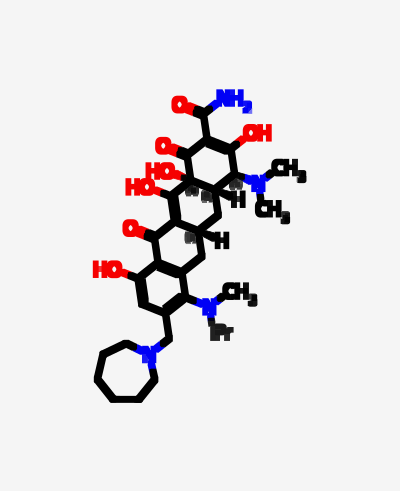 CC(C)N(C)c1c(CN2CCCCCC2)cc(O)c2c1C[C@H]1C[C@H]3[C@H](N(C)C)C(O)=C(C(N)=O)C(=O)[C@@]3(O)C(O)=C1C2=O